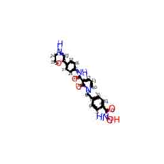 O=C(NO)c1ccc(Cn2cccc(C(=O)Nc3ccc(C4CNCCO4)cc3)c2=O)cc1